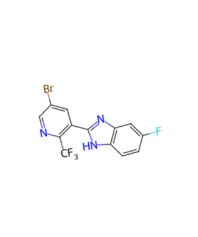 Fc1ccc2[nH]c(-c3cc(Br)cnc3C(F)(F)F)nc2c1